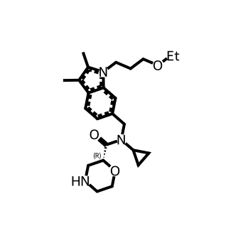 CCOCCCn1c(C)c(C)c2ccc(CN(C(=O)[C@H]3CNCCO3)C3CC3)cc21